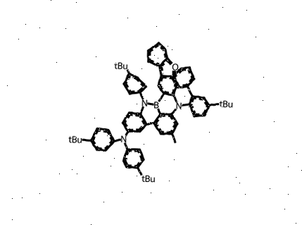 Cc1cc2c3c(c1)N(c1ccc(C(C)(C)C)cc1-c1ccccc1)c1cc4oc5ccccc5c4cc1B3N(c1ccc(C(C)(C)C)cc1)c1ccc(N(c3ccc(C(C)(C)C)cc3)c3ccc(C(C)(C)C)cc3)cc1-2